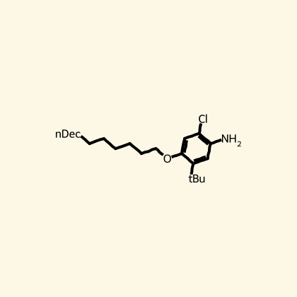 CCCCCCCCCCCCCCCCOc1cc(Cl)c(N)cc1C(C)(C)C